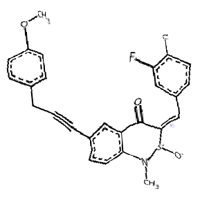 COc1ccc(CC#Cc2ccc3c(c2)C(=O)/C(=C\c2ccc(Cl)c(F)c2)[S+]([O-])N3C)cc1